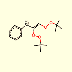 CC(C)(C)OOC=C(OOC(C)(C)C)[SiH2]c1ccccc1